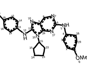 COc1ccc(Nc2ncc3nc(Nc4ccc(C)cc4)n(C4CCCC4)c3n2)cc1